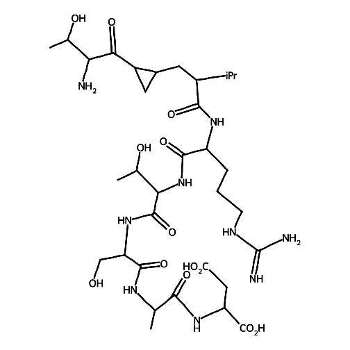 CC(NC(=O)C(CO)NC(=O)C(NC(=O)C(CCCNC(=N)N)NC(=O)C(CC1CC1C(=O)C(N)C(C)O)C(C)C)C(C)O)C(=O)NC(CC(=O)O)C(=O)O